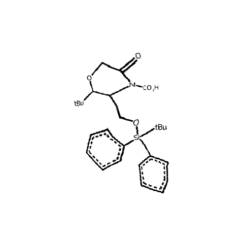 CC(C)(C)C1OCC(=O)N(C(=O)O)C1CO[Si](c1ccccc1)(c1ccccc1)C(C)(C)C